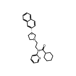 O=C(C1CCCCC1)N(CCN1CC[C@H](c2ccc3ccccc3c2)C1)c1ccccn1